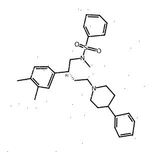 Cc1ccc([C@@H](CCN2CCC(c3ccccc3)CC2)CN(C)S(=O)(=O)c2ccccc2)cc1C